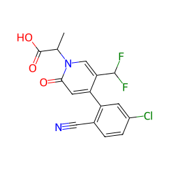 CC(C(=O)O)n1cc(C(F)F)c(-c2cc(Cl)ccc2C#N)cc1=O